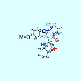 COc1ccc(Cn2cc(C(=O)NC3CCCCC3O)c(=O)c3c(F)ccc(F)c32)cc1